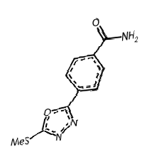 CSc1nnc(-c2ccc(C(N)=O)cc2)o1